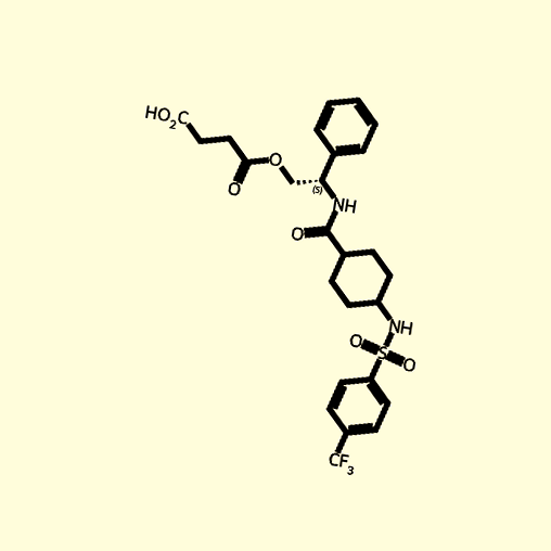 O=C(O)CCC(=O)OC[C@@H](NC(=O)C1CCC(NS(=O)(=O)c2ccc(C(F)(F)F)cc2)CC1)c1ccccc1